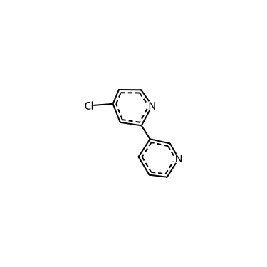 Clc1ccnc(-c2cccnc2)c1